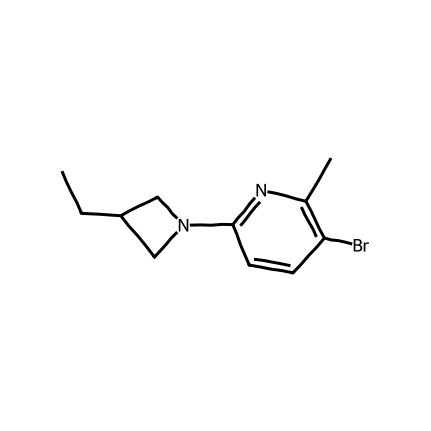 CCC1CN(c2ccc(Br)c(C)n2)C1